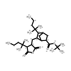 CCCC(C)(C)C1C(=O)OC(=O)C1CC1C2CC(CC2C(=O)OC(C)(C)C)C1C(C)(C)CCC